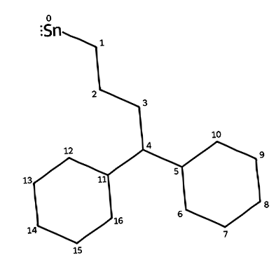 [Sn][CH2]CCC(C1CCCCC1)C1CCCCC1